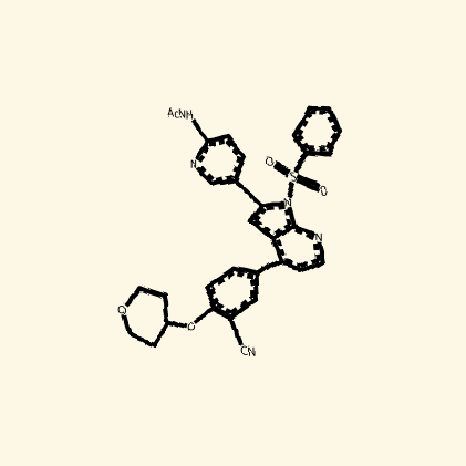 CC(=O)Nc1ccc(-c2cc3c(-c4ccc(OC5CCOCC5)c(C#N)c4)ccnc3n2S(=O)(=O)c2ccccc2)cn1